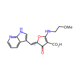 COCCNC1=C(C(=O)O)C(=O)/C(=C/c2c[nH]c3ncccc23)O1